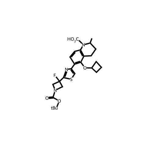 CC1CCc2c(ccc(-c3csc(C4(F)CN(C(=O)OC(C)(C)C)C4)n3)c2OC2CCC2)N1C(=O)O